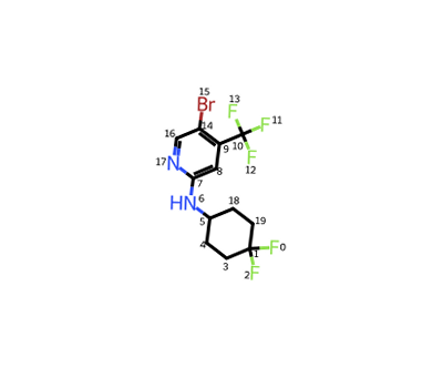 FC1(F)CCC(Nc2cc(C(F)(F)F)c(Br)cn2)CC1